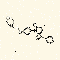 O=c1ccc2c(-c3ccccc3)csc2n1-c1ccc(OCCN2CCOCC2)cc1